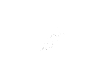 CN[C@H]1CCCCC[C@@H]1N(C)c1ccc2c(c1)C(O)N(C1CCC(=O)NC1=O)C2=O